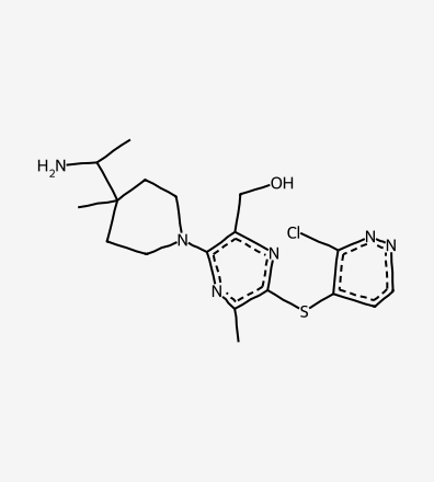 Cc1nc(N2CCC(C)(C(C)N)CC2)c(CO)nc1Sc1ccnnc1Cl